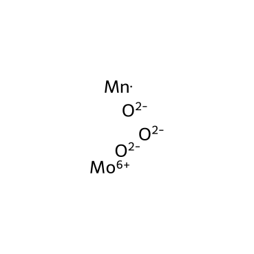 [Mn].[Mo+6].[O-2].[O-2].[O-2]